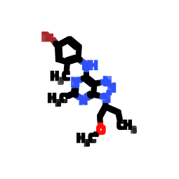 CCC(COC)n1nnc2c(Nc3ccc(Br)cc3C)nc(C)nc21